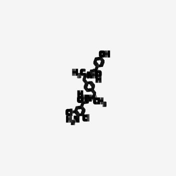 C[C@H](Cc1ccc(C[C@@H](C)NC[C@H](O)c2ccc(O)cc2)cc1)NCC(O)c1cc(Cl)c(N)c(Cl)c1